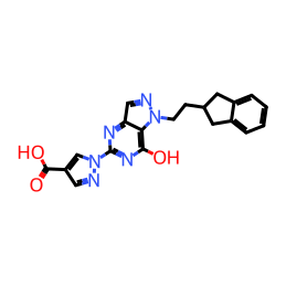 O=C(O)c1cnn(-c2nc(O)c3c(cnn3CCC3Cc4ccccc4C3)n2)c1